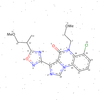 COCCn1c(=O)c2c(-c3noc(C(C)COC)n3)ncn2c2cccc(Cl)c21